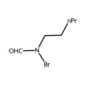 CCCCCN(Br)[C]=O